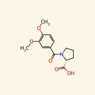 COc1ccc(C(=O)N2CCC[C@@H]2C(=O)O)cc1OC